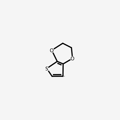 [c]1csc2c1OCCO2